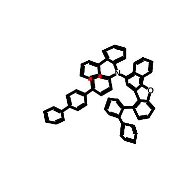 c1ccc(-c2ccc(-c3ccc(N(c4ccccc4-c4ccccc4)c4cc5c(oc6cccc(-c7ccccc7-c7ccccc7)c65)c5ccccc45)cc3)cc2)cc1